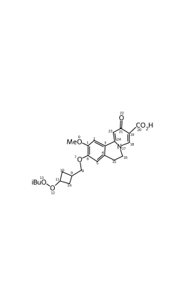 COc1cc2c(cc1OCC1CC(OOCC(C)C)C1)CCn1cc(C(=O)O)c(=O)cc1-2